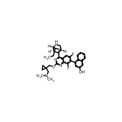 CC[C@H]1[C@@H]2CC[C@@H](CN2)N1c1nc(OCC2(CN(C)C)CC2)nc2c(F)c(-c3cc(O)cc4ccccc34)c(F)cc12